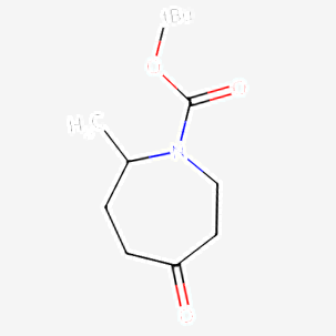 CC1CCC(=O)CCN1C(=O)OC(C)(C)C